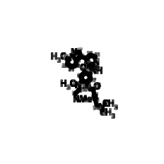 CNCCN(C)c1cc(OC)c(Nc2nccc(-c3cnn4c(C)cccc34)n2)cc1NC(=O)C#CCN(C)C